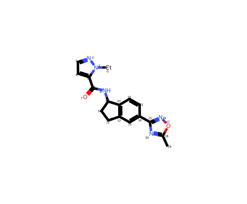 CCn1nccc1C(=O)NC1CCc2cc(-c3noc(C)n3)ccc21